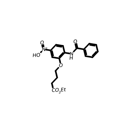 CCOC(=O)CCCOc1cc([N+](=O)O)ccc1NC(=O)c1ccccc1